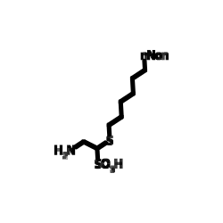 CCCCCCCCCCCCCCCSC(CN)S(=O)(=O)O